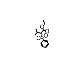 CCOC(=O)C(C(C)C)S(=O)(=O)c1ccccc1